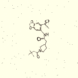 CC(=O)c1cc2c(cc1NC(=O)CC1CCN(C(=O)CC(C)(C)C)C1)OCO2